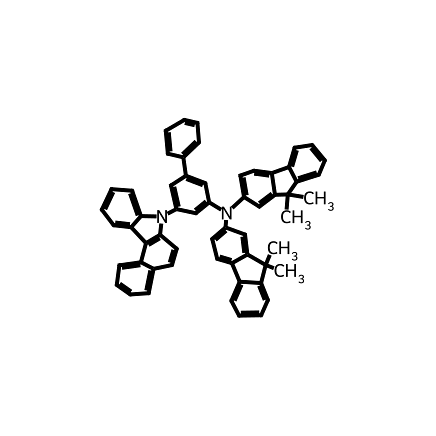 CC1(C)c2ccccc2-c2ccc(N(c3cc(-c4ccccc4)cc(-n4c5ccccc5c5c6ccccc6ccc54)c3)c3ccc4c(c3)C(C)(C)c3ccccc3-4)cc21